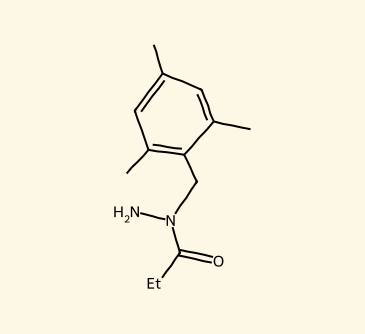 CCC(=O)N(N)Cc1c(C)cc(C)cc1C